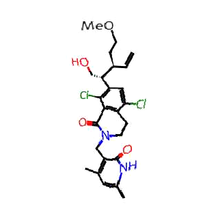 C=C[C@H](CCOC)[C@@H](CO)c1cc(Cl)c2c(c1Cl)C(=O)N(Cc1c(C)cc(C)[nH]c1=O)CC2